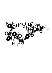 CC(C)[C@H](NC(=O)CCC(=O)O)C(=O)N[C@@H](CCCNC(N)=O)C(=O)Nc1ccc(COC(=O)N(C)CCN(C)C(=O)Oc2ccc([C@@H]3[C@@H](CC[C@H](O)c4ccc(F)cc4)C(=O)N3c3ccc(F)cc3)cc2)cc1